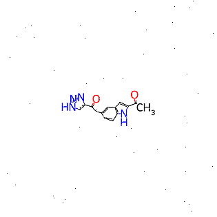 CC(=O)c1cc2cc(CC(=O)c3c[nH]nn3)ccc2[nH]1